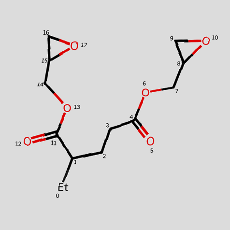 CCC(CCC(=O)OCC1CO1)C(=O)OCC1CO1